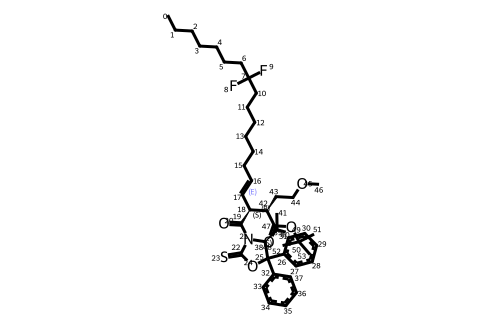 CCCCCCCC(F)(F)CCCCCC/C=C/[C@H](C(=O)N1C(=S)OC(c2ccccc2)(c2ccccc2)[C@@H]1C(C)C)[C@@H](CCOC)C(=O)OC(C)(C)C